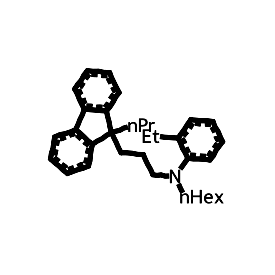 CCCCCCN(CCCC1(CCC)c2ccccc2-c2ccccc21)c1ccccc1CC